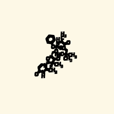 C=C1NC(=O)C=CN1[C@@H]1O[C@H](COP(=S)(NC(C)C(=O)OCC(C)(C)C)Oc2ccccc2)[C@@H](O)[C@@]1(C)F